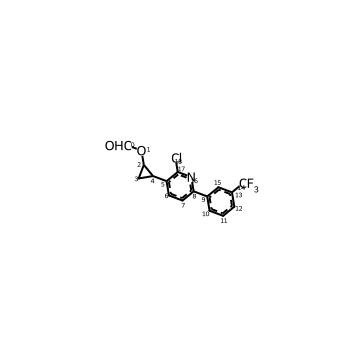 O=COC1CC1c1ccc(-c2cccc(C(F)(F)F)c2)nc1Cl